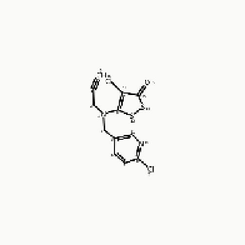 C#CCN(Cc1ccc(Cl)nc1)c1ssc(=O)c1Cl